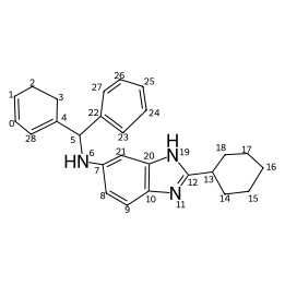 C1=CCCC(C(Nc2ccc3nc(C4CCCCC4)[nH]c3c2)c2ccccc2)=C1